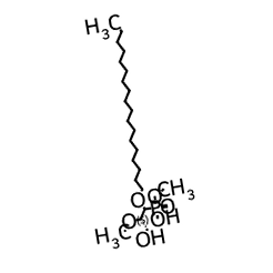 CCCCCCCCCCCCCCCCCCOC([C@H](CO)OC)P(=O)(O)OC